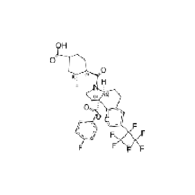 C[C@@H]1CC(C(=O)O)CC[C@H]1C(=O)N1CC[C@]2(S(=O)(=O)c3ccc(F)cc3)c3ccc(C(F)(C(F)(F)F)C(F)(F)F)cc3CC[C@H]12